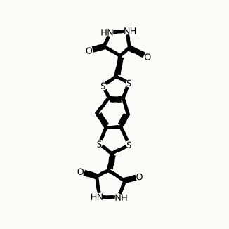 O=C1NNC(=O)C1=C1Sc2cc3c(cc2S1)SC(=C1C(=O)NNC1=O)S3